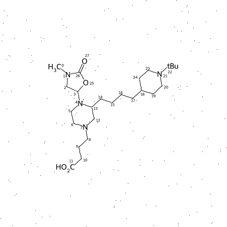 CN1CC(N2CCN(CCCC(=O)O)CC2CCCCC2CCN(C(C)(C)C)CC2)OC1=O